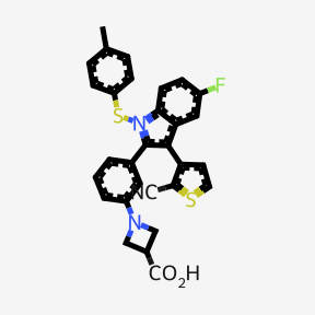 Cc1ccc(Sn2c(-c3cccc(N4CC(C(=O)O)C4)c3)c(-c3ccsc3C#N)c3cc(F)ccc32)cc1